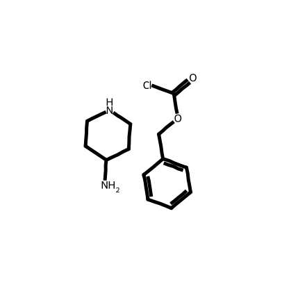 NC1CCNCC1.O=C(Cl)OCc1ccccc1